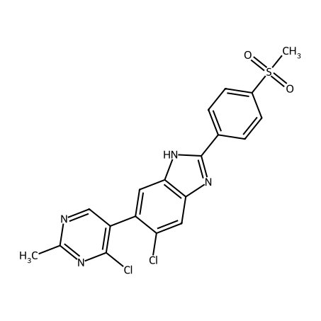 Cc1ncc(-c2cc3[nH]c(-c4ccc(S(C)(=O)=O)cc4)nc3cc2Cl)c(Cl)n1